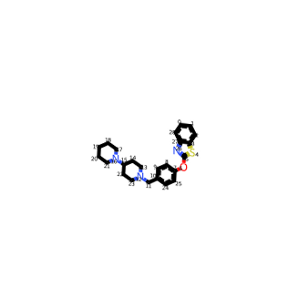 c1ccc2sc(Oc3ccc(CN4CCC(N5CCCCC5)CC4)cc3)nc2c1